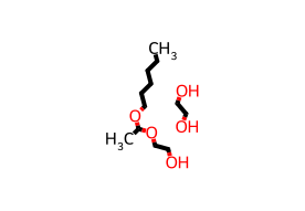 CCCCCCOC(C)OCCO.OCCO